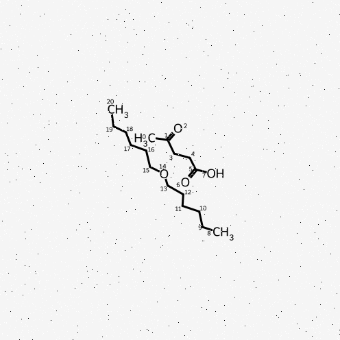 CC(=O)CCC(=O)O.CCCCCCOCCCCCC